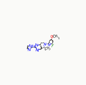 COc1cc(F)nc(N2CCc3nc(-c4ncc[nH]4)ncc3C2C)c1